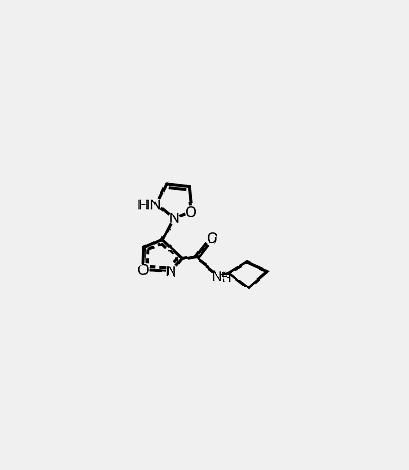 O=C(NC1CCC1)c1nocc1N1NC=CO1